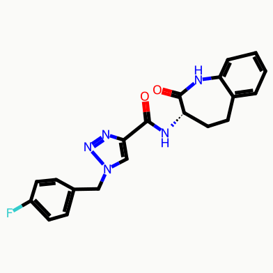 O=C(N[C@H]1CCc2ccccc2NC1=O)c1cn(Cc2ccc(F)cc2)nn1